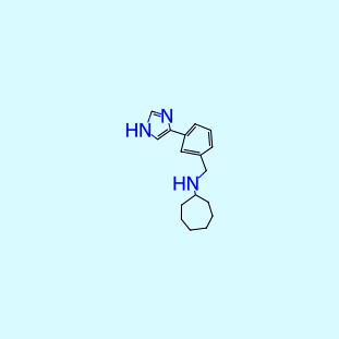 c1cc(CNC2CCCCCC2)cc(-c2c[nH]cn2)c1